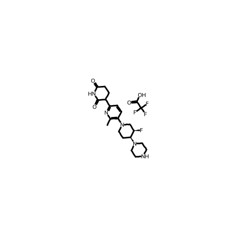 Cc1nc(C2CCC(=O)NC2=O)ccc1N1CC[C@H](N2CCNCC2)[C@H](F)C1.O=C(O)C(F)(F)F